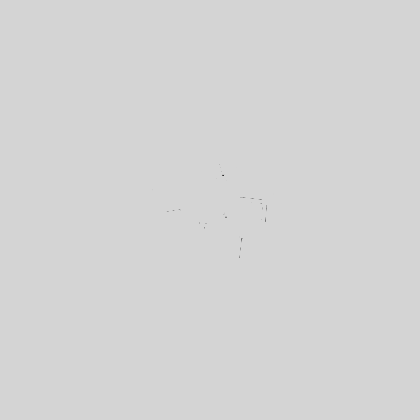 O=CBNc1c(Cl)csc1C(F)(F)F